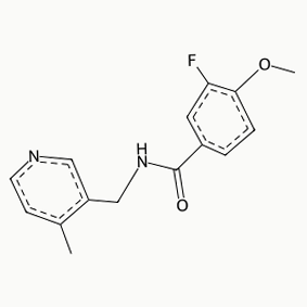 COc1ccc(C(=O)NCc2cnccc2C)cc1F